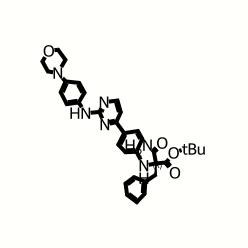 CC(C)(C)OC(=O)[C@](Cc1ccccc1)(Nc1ccc(-c2ccnc(Nc3ccc(N4CCOCC4)cc3)n2)cc1)C(N)=O